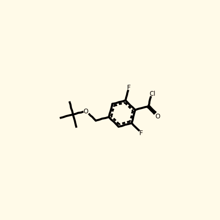 CC(C)(C)OCc1cc(F)c(C(=O)Cl)c(F)c1